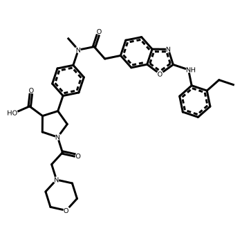 CCc1ccccc1Nc1nc2ccc(CC(=O)N(C)c3ccc(C4CN(C(=O)CN5CCOCC5)CC4C(=O)O)cc3)cc2o1